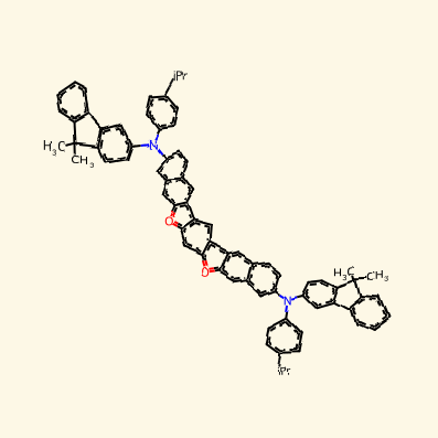 CC(C)c1ccc(N(c2ccc3c(c2)-c2ccccc2C3(C)C)c2ccc3cc4c(cc3c2)oc2cc3oc5cc6cc(N(c7ccc(C(C)C)cc7)c7ccc8c(c7)-c7ccccc7C8(C)C)ccc6cc5c3cc24)cc1